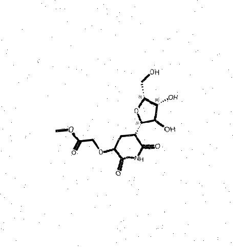 COC(=O)COC1CC([C@@H]2O[C@H](CO)[C@H](O)C2O)C(=O)NC1=O